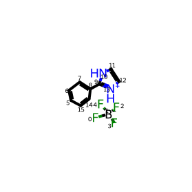 F[B-](F)(F)F.c1ccc(-c2[nH]cc[nH+]2)cc1